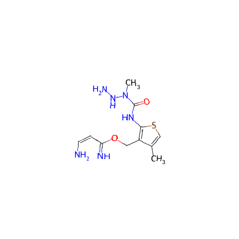 Cc1csc(NC(=O)N(C)NN)c1COC(=N)/C=C\N